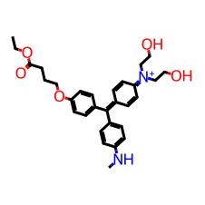 CCOC(=O)CCCOc1ccc(C(=C2C=CC(=[N+](CCO)CCO)C=C2)c2ccc(NC)cc2)cc1